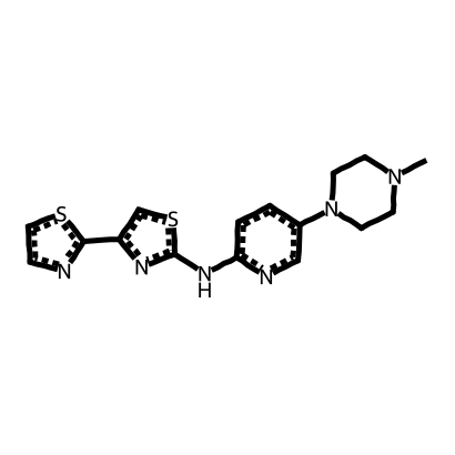 CN1CCN(c2ccc(Nc3nc(-c4nccs4)cs3)nc2)CC1